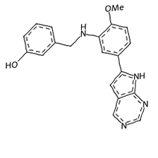 COc1ccc(-c2cc3cncnc3[nH]2)cc1NCc1cccc(O)c1